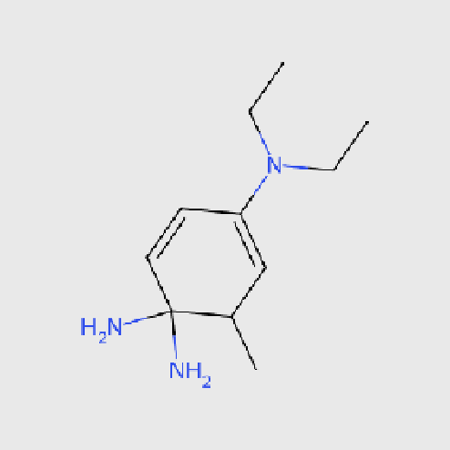 CCN(CC)C1=CC(C)C(N)(N)C=C1